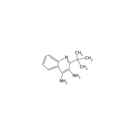 CC(C)(C)c1nc2ccccc2c(N)c1N